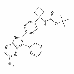 CC(C)(C)OC(=O)NC1(c2ccc(-c3nc4ccc(N)nn4c3-c3ccccc3)cc2)CCC1